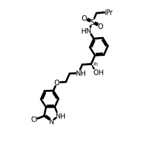 CC(C)CS(=O)(=O)Nc1cccc([C@@H](O)CNCCOc2ccc3c(Cl)n[nH]c3c2)c1